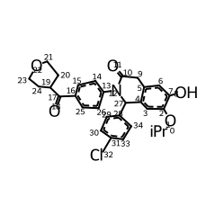 CC(C)Oc1cc2c(cc1O)CC(=O)N(c1ccc(C(=O)C3CCOCC3)cc1)C2c1ccc(Cl)cc1